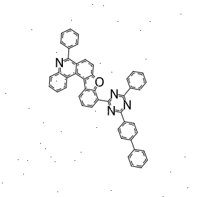 c1ccc(-c2ccc(-c3nc(-c4ccccc4)nc(-c4cccc5c4oc4ccc6c(-c7ccccc7)nc7ccccc7c6c45)n3)cc2)cc1